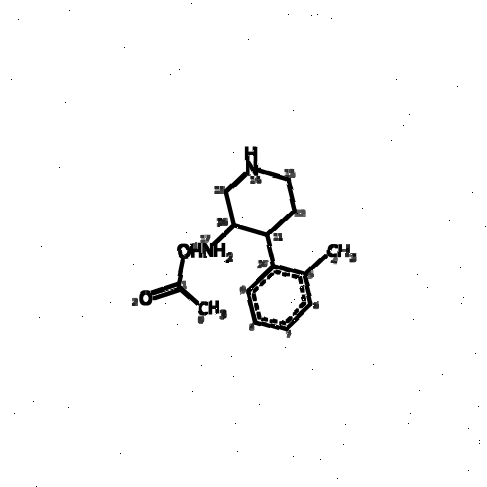 CC(=O)O.Cc1ccccc1C1CCNCC1N